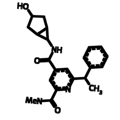 CNC(=O)c1cc(C(=O)NC2C3CC(O)CC32)cc(C(C)c2ccccc2)n1